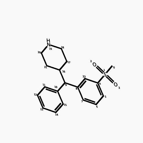 CS(=O)(=O)c1cccc(C(c2ccccc2)C2CCNCC2)c1